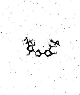 N#CC1(NC(=O)c2cc(-c3cnn(-c4c(Br)cc(C(F)(C(F)(F)F)C(F)(F)F)n4CF)c3)ccc2Cl)CC1